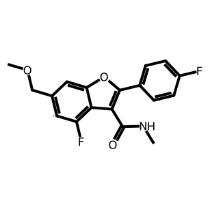 CNC(=O)c1c(-c2ccc(F)cc2)oc2cc(COC)[c]c(F)c12